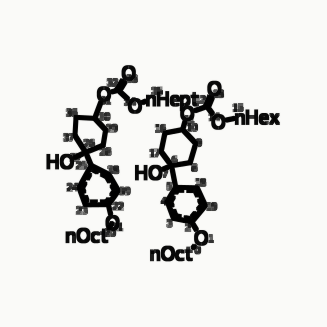 CCCCCCCCOc1ccc(C2(O)CCC(OC(=O)OCCCCCC)CC2)cc1.CCCCCCCCOc1ccc(C2(O)CCC(OC(=O)OCCCCCCC)CC2)cc1